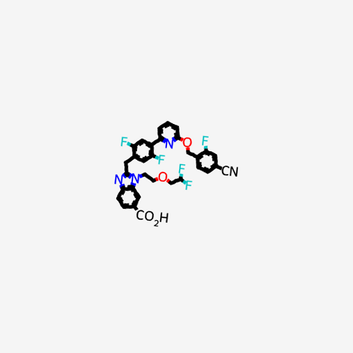 N#Cc1ccc(COc2cccc(-c3cc(F)c(Cc4nc5ccc(C(=O)O)cc5n4CCOCC(F)F)cc3F)n2)c(F)c1